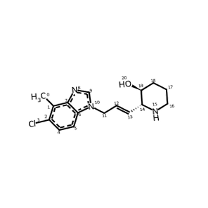 Cc1c(Cl)ccc2c1ncn2C/C=C/[C@H]1NCCC[C@@H]1O